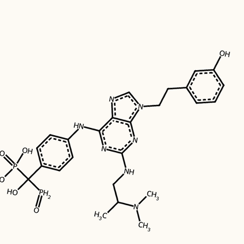 CC(CNc1nc(Nc2ccc(C(O)([PH2]=O)P(=O)(O)O)cc2)c2ncn(CCc3cccc(O)c3)c2n1)N(C)C